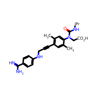 Cc1cc(N(CC(=O)O)C(=O)NC(C)C)c(C)cc1C#CCNc1ccc(C(=N)N)cc1